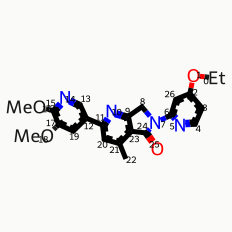 CCOc1ccnc(N2Cc3nc(-c4cnc(OC)c(OC)c4)cc(C)c3C2=O)c1